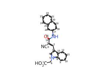 N#CC(=Cc1cn(CC(=O)O)c2ccccc12)C(=O)Nc1ccc2ccccc2c1